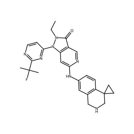 CCn1c(=O)c2cnc(Nc3ccc4c(c3)CNCC43CC3)cc2n1-c1ccnc(C(C)(C)F)n1